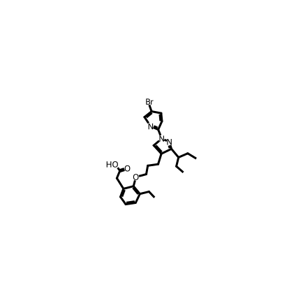 CCc1cccc(CC(=O)O)c1OCCCc1cn(-c2ccc(Br)cn2)nc1C(CC)CC